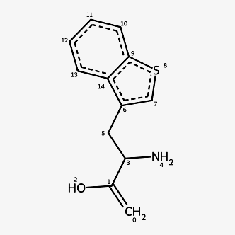 C=C(O)C(N)Cc1csc2ccccc12